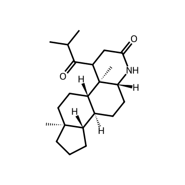 CC(C)C(=O)C1CC(=O)N[C@@H]2CC[C@H]3[C@@H]4CCC[C@@]4(C)CC[C@@H]3[C@@]12C